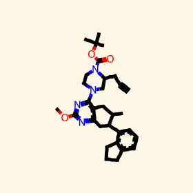 C#CCC1CN(c2nc(OC)nc3c2CC(C)C(c2cccc4c2CCC4)C3)CCN1C(=O)OC(C)(C)C